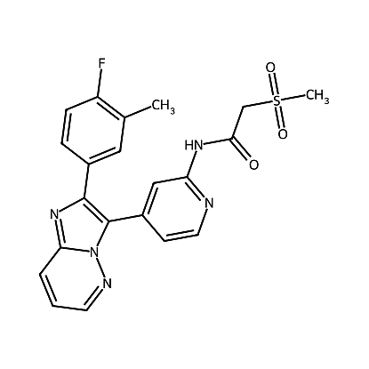 Cc1cc(-c2nc3cccnn3c2-c2ccnc(NC(=O)CS(C)(=O)=O)c2)ccc1F